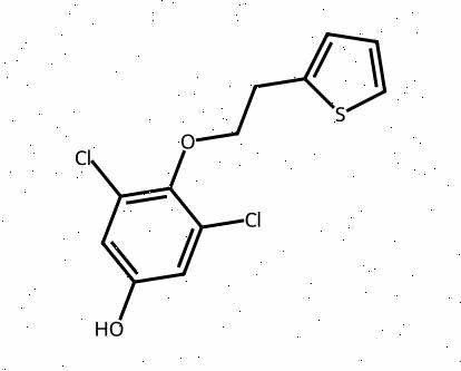 Oc1cc(Cl)c(OCCc2cccs2)c(Cl)c1